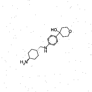 N[C@H]1CC[C@H](CNc2ccc(C3(O)CCOCC3)cc2)CC1